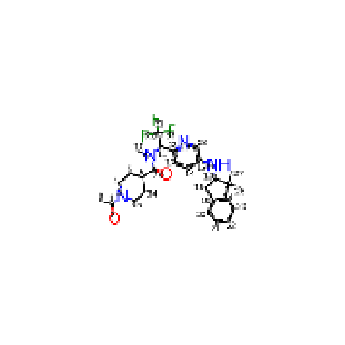 CC(=O)N1CCC(C(=O)N(C)C(c2ccc(N[C@H]3Cc4ccccc4C3(C)C)cn2)C(F)(F)F)CC1